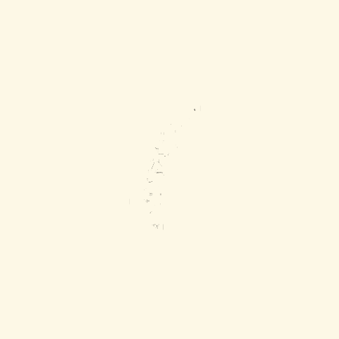 CCCCCCC1CCC(OC(=O)c2ccc(C3=CCC(C(C)CCCCC)CC3)cc2)CC1